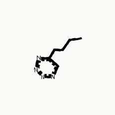 CCCCc1cnnnn1